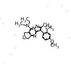 CCN(CC)c1c2c(nc3c(-c4ccc(OC)cc4C)c(C)nn13)COC2